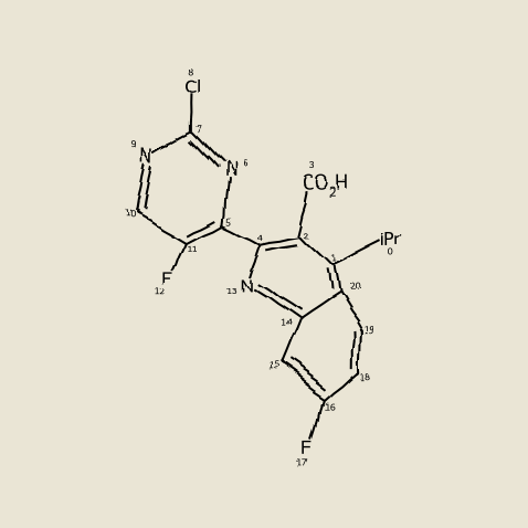 CC(C)c1c(C(=O)O)c(-c2nc(Cl)ncc2F)nc2cc(F)ccc12